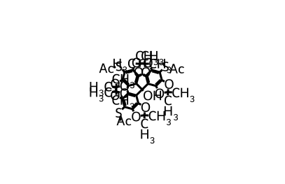 CC(=O)Sc1c2c(c(C(O)(c3c4c(c(SC(C)=O)c5c3OC(C)(C)O5)OC(C)(C)O4)c3c4c(c(SC(C)=O)c5c3OC(C)(C)O5)OC(C)(C)O4)c3c1OC(C)(C)O3)OC(C)(C)O2